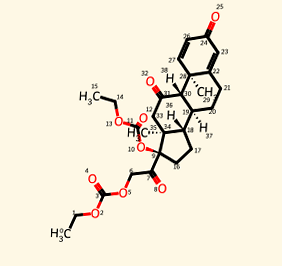 CCOC(=O)OCC(=O)[C@@]1(OC(=O)OCC)CC[C@H]2[C@@H]3CCC4=CC(=O)C=C[C@]4(C)[C@H]3C(=O)C[C@@]21C